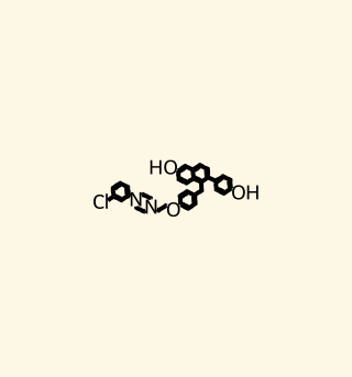 Oc1ccc(-c2ccc3cc(O)ccc3c2Cc2ccc(OCCN3CCN(c4cccc(Cl)c4)CC3)cc2)cc1